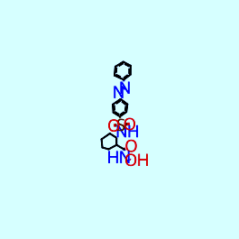 O=C(NO)C1CCCCC1NS(=O)(=O)c1ccc(N=Nc2ccccc2)cc1